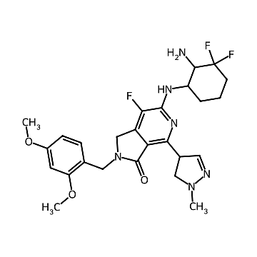 COc1ccc(CN2Cc3c(F)c(NC4CCCC(F)(F)C4N)nc(C4C=NN(C)C4)c3C2=O)c(OC)c1